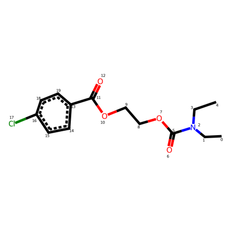 CCN(CC)C(=O)OCCOC(=O)c1ccc(Cl)cc1